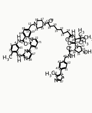 Cc1ccc(NC(=O)c2ccc(CN3CCN(C(=O)CCCCCCC(=O)NC(C(=O)N4C[C@H](O)C[C@H]4C(=O)NCc4ccc(-c5scnc5C)cc4)C(C)(C)C)CC3)cc2)cc1Nc1nccc(-c2cccnc2)n1